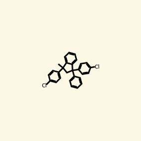 CC1(c2ccc(Cl)cc2)CC(c2ccccc2)(c2ccc(Cl)cc2)c2ccccc21